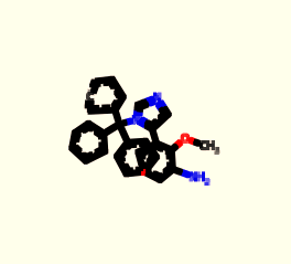 COc1c(N)cccc1-c1cncn1C(c1ccccc1)(c1ccccc1)c1ccccc1